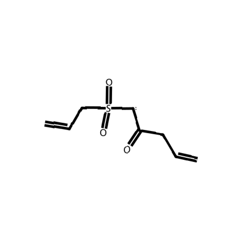 C=CCC(=O)[C]S(=O)(=O)CC=C